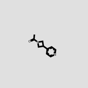 CC(=O)N1CC(c2ccncc2)C1